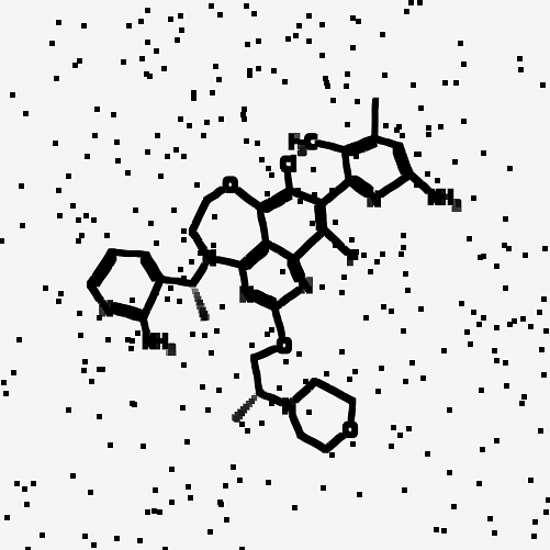 Cc1cc(N)nc(-c2c(Cl)c3c4c(nc(OC[C@@H](C)N5CCOCC5)nc4c2F)N([C@H](C)c2cccnc2N)CCO3)c1C(F)(F)F